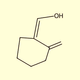 C=C1CCCC/C1=C/O